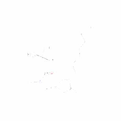 CCCCCCCN1N=C(CN(C)C(=O)OC(C)(C)C)CC1=O